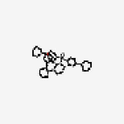 O=P(c1ccc(-c2ccccc2)cc1)(c1ccc(-c2ccccc2)cc1)c1cccc2c3ccccc3c3ccccc3c12